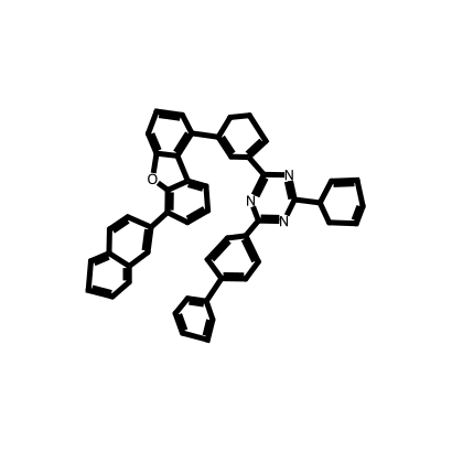 C1=CCC(c2nc(C3=CCCC(c4cccc5oc6c(-c7ccc8ccccc8c7)cccc6c45)=C3)nc(-c3ccc(-c4ccccc4)cc3)n2)C=C1